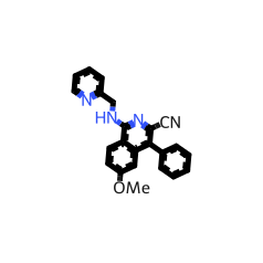 COc1ccc2c(NCc3ccccn3)nc(C#N)c(-c3ccccc3)c2c1